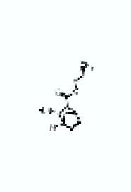 C=CCOC(=O)[C@H]1C2C=C[C@@H](C2)[C@H]1N